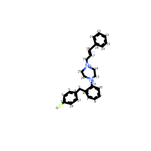 Fc1ccc(Cc2ccccc2N2CCN(C/C=C/c3ccccc3)CC2)cc1